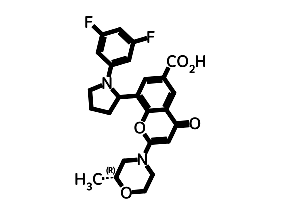 C[C@@H]1CN(c2cc(=O)c3cc(C(=O)O)cc(C4CCCN4c4cc(F)cc(F)c4)c3o2)CCO1